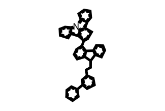 c1ccc(-c2cccc(CCC3c4ccccc4-c4c(-c5ccc6c7ccccc7n7c8ccccc8c5c67)cccc43)c2)cc1